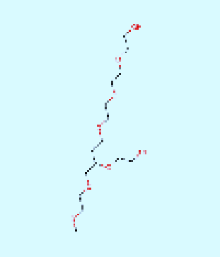 COCCOCC(CCOCCOCCOCCO)OCCO